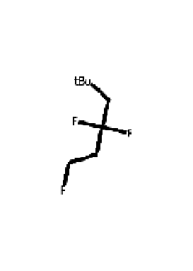 CC(C)(C)CC(F)(F)CCF